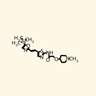 CN1CCC(OCC(=O)Nc2ncc(/C=C/c3ncc([Si](C)(C)C)o3)s2)CC1